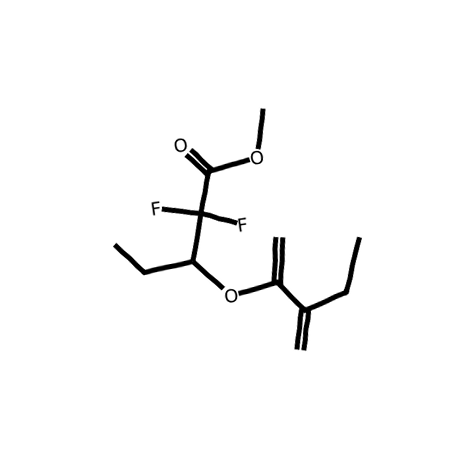 C=C(CC)C(=C)OC(CC)C(F)(F)C(=O)OC